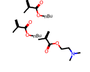 C=C(C)C(=O)OCCCC.C=C(C)C(=O)OCCCC.C=C(C)C(=O)OCCN(C)C